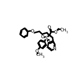 CCOC(=O)C(CCCCOc1ccccc1)(Cc1cccnc1)S(=O)(=O)c1ccc(OC)cc1